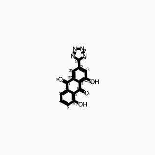 O=C1c2cccc(O)c2C(=O)c2c(O)cc(C3N=NN=N3)cc21